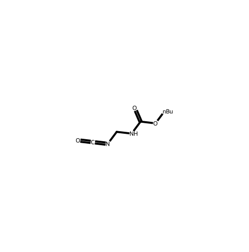 CCCCOC(=O)NCN=C=O